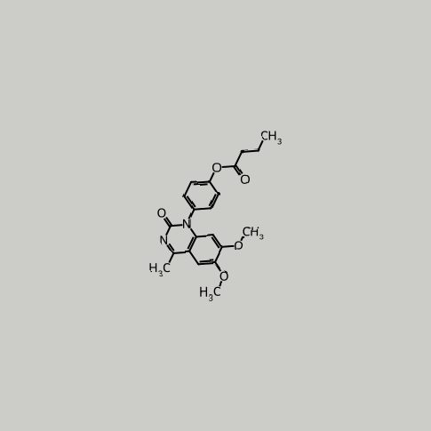 CCCC(=O)Oc1ccc(-n2c(=O)nc(C)c3cc(OC)c(OC)cc32)cc1